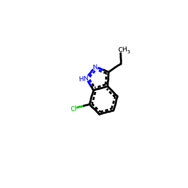 CCc1n[nH]c2c(Cl)cccc12